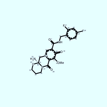 COc1c2n(cc(C(=O)NCc3ccc(F)cc3F)c1=O)C[C@]1(N)OCCCN1C2=O